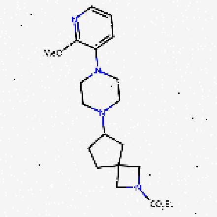 CCOC(=O)N1CC2(CCC(N3CCN(c4cccnc4OC)CC3)C2)C1